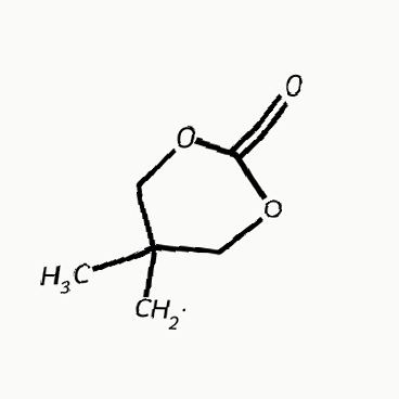 [CH2]C1(C)COC(=O)OC1